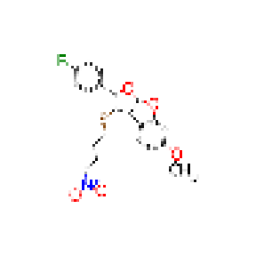 COc1ccc2c(c1)OC1OC(c3ccc(F)cc3)=C(SCCCC[N+](=O)[O-])C21